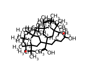 CC(C)(C)N1C(C(C)(C)C)(C(C)(C)C)CC(C(CCCC(=O)O)(C(=O)O)C2CC(C(C)(C)C)(C(C)(C)C)N(C(C)(C)C)C(C(C)(C)C)(C(C)(C)C)C2)CC1(C(C)(C)C)C(C)(C)C